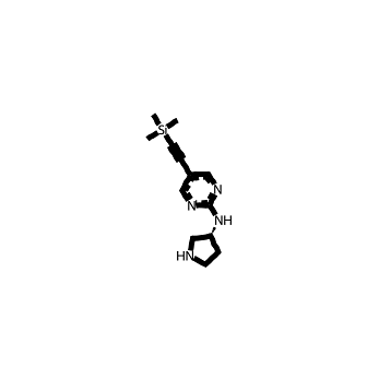 C[Si](C)(C)C#Cc1cnc(N[C@@H]2CCNC2)nc1